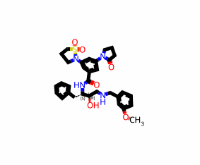 COc1cccc(CNC[C@@H](O)[C@H](Cc2ccccc2)NC(=O)c2cc(N3CCCC3=O)cc(N3CCCS3(=O)=O)c2)c1